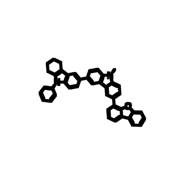 Cn1c2ccc(-c3ccc4c(c3)c3c(n4-c4ccccc4)CCCC3)cc2c2cc(-c3cccc4c3oc3ccccc34)ccc21